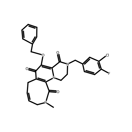 CN1CC=CCc2c(n3c(c(OCc4ccccc4)c2=O)C(=O)N(Cc2ccc(F)c(Cl)c2)CC3)C1=O